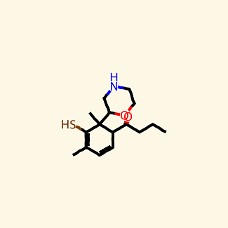 CCCC(=O)C1C=CC(C)=C(S)C1(C)C1CNCCO1